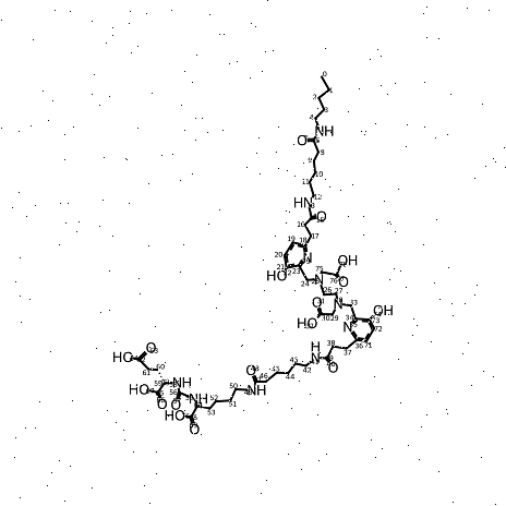 CCCCCNC(=O)CCCCCNC(=O)CCc1ccc(O)c(CN(CCN(CC(=O)O)Cc2nc(CCC(=O)NCCCCCC(=O)NCCCC[C@H](NC(=O)N[C@@H](CCC(=O)O)C(=O)O)C(=O)O)ccc2O)CC(=O)O)n1